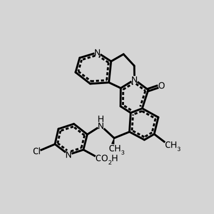 Cc1cc([C@@H](C)Nc2ccc(Cl)nc2C(=O)O)c2cc3n(c(=O)c2c1)CCc1ncccc1-3